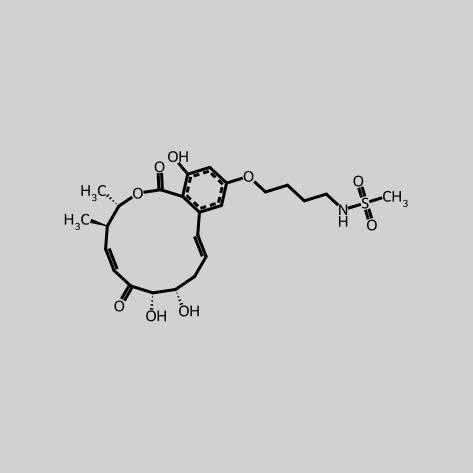 C[C@@H]1/C=C\C(=O)[C@@H](O)[C@@H](O)C/C=C/c2cc(OCCCCNS(C)(=O)=O)cc(O)c2C(=O)O[C@H]1C